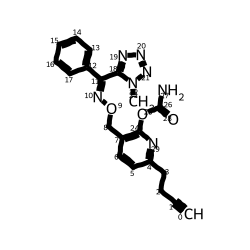 C#CCCc1ccc(CO/N=C(/c2ccccc2)c2nnnn2C)c(OC(N)=O)n1